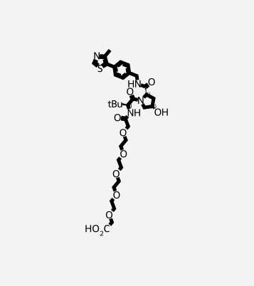 Cc1ncsc1-c1ccc(CNC(=O)[C@@H]2C[C@@H](O)CN2C(=O)[C@@H](NC(=O)COCCOCCOCCOCCOCC(=O)O)C(C)(C)C)cc1